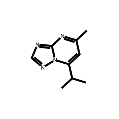 Cc1cc(C(C)C)n2ncnc2n1